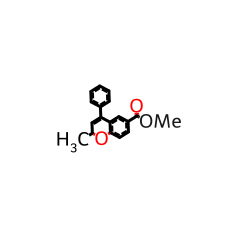 COC(=O)c1ccc2c(c1)C(c1ccccc1)=CC(C)O2